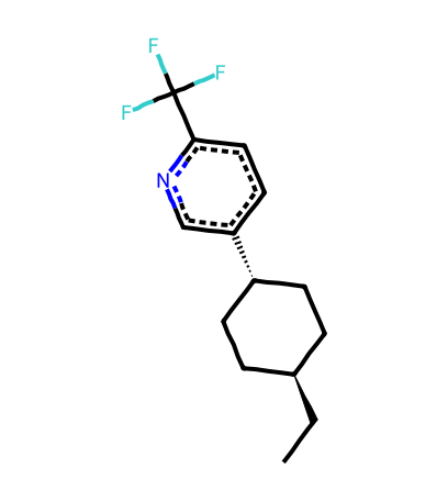 CC[C@H]1CC[C@H](c2ccc(C(F)(F)F)nc2)CC1